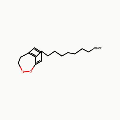 CCCCCCCCCCCCCCCCCCc1c2cccc1OOCC2